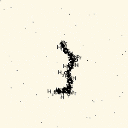 CC(C)OC(=O)NC1CCC(c2ncc(-c3ccc(Nc4cc(CCC(C)OC(=O)N[C@H]5CC[C@H](c6ncc(-c7ccc(Nc8cn(C)nn8)cc7S(=O)(=O)C(C)C)s6)CC5)[nH]n4)cc3S(=O)(=O)C(C)C)s2)CC1